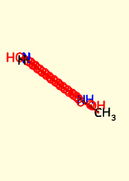 CCCCCCCCCCCC(CCCCCCCCCCC(=O)NCCOCCOCCOCCOCCOCCOCCOCCOCCOCCOCCOCCOCCOCCOCCOCCOCCOCCOCCOCCOCCOCCOCCOCCn1nnc2c1CC[C@H]1C(CC2)[C@H]1CO)C(=O)O